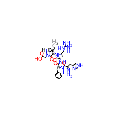 CC[C@H](C)[C@H](NC(=O)[C@H](CCCNC(=N)N)NC(=O)[C@H](Cc1ccccc1)NC(=O)[C@@H](N)Cc1c[nH]cn1)C(=O)NCC(=O)O